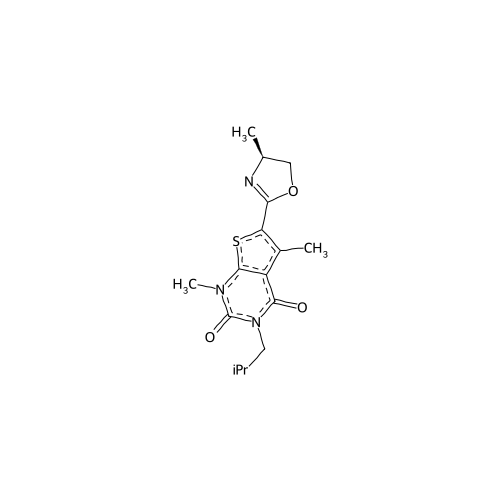 Cc1c(C2=N[C@@H](C)CO2)sc2c1c(=O)n(CC(C)C)c(=O)n2C